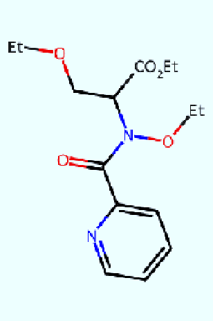 CCOCC(C(=O)OCC)N(OCC)C(=O)c1ccccn1